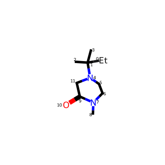 CCC(C)(C)N1CCN(C)C(=O)C1